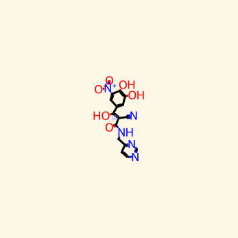 N#C/C(C(=O)NCc1ccncn1)=C(/O)c1cc(O)c(O)c([N+](=O)[O-])c1